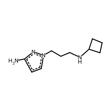 Nc1ccn(CCCNC2CCC2)n1